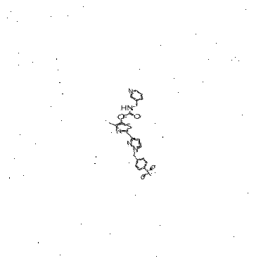 Cc1nc(-c2ccn(Cc3ccc(S(C)(=O)=O)cc3)n2)sc1OC(=O)NCc1cccnc1